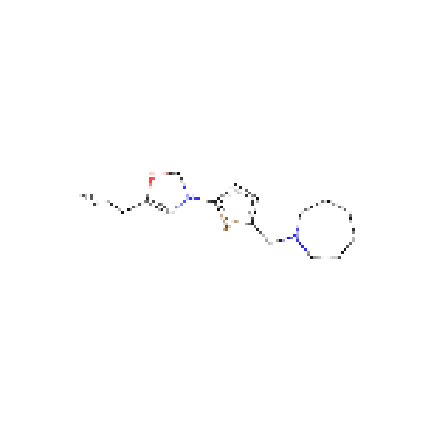 CCOC(=O)CC1=CN(c2ccc(CN3CCCCCC3)s2)CO1